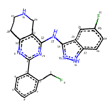 FCc1ccccc1-c1nc2c(c(Nc3n[nH]c4ccc(F)cc34)n1)CNCC2